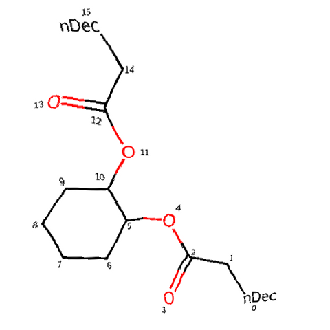 CCCCCCCCCCCC(=O)OC1CCCCC1OC(=O)CCCCCCCCCCC